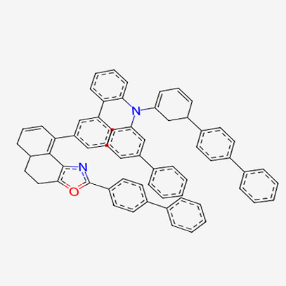 C1=CC(c2ccc(-c3ccccc3)cc2)CC(N(c2cccc(-c3ccccc3)c2)c2ccccc2-c2cccc(C3=C4c5nc(-c6ccc(-c7ccccc7)cc6)oc5CCC4CC=C3)c2)=C1